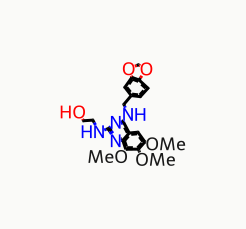 COc1cc2c(NCc3ccc4c(c3)OCO4)nc(NCCO)nc2c(OC)c1OC